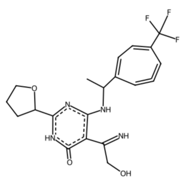 CC(Nc1nc(C2CCCO2)[nH]c(=O)c1C(=N)CO)C1=CC=C(C(F)(F)F)C=C=C1